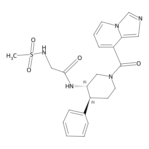 CS(=O)(=O)NCC(=O)N[C@@H]1CN(C(=O)c2cccn3cncc23)CC[C@H]1c1ccccc1